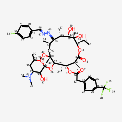 CC[C@H]1OC(=O)[C@H](C)[C@@H](OC(=O)Cc2ccc(C(F)(F)F)cc2)[C@H](C)[C@@H](OC2OC(C)CC(N(C)C)C2O)[C@](C)(OC)C[C@@H](C)/C(=N\N=C\c2ccc(F)cc2)[C@H](C)[C@@H](O)[C@]1(C)O